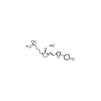 CN(C)CCCCN1CCN(N=Cc2ccc(-c3ccc(Cl)cc3)o2)C1=O.Cl